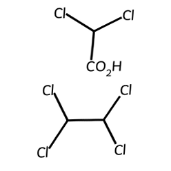 ClC(Cl)C(Cl)Cl.O=C(O)C(Cl)Cl